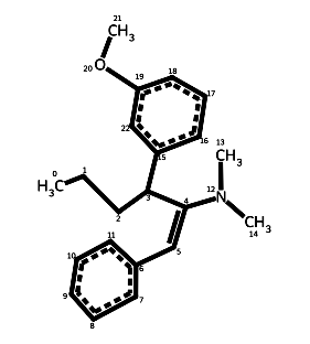 CCCC(/C(=C\c1ccccc1)N(C)C)c1cccc(OC)c1